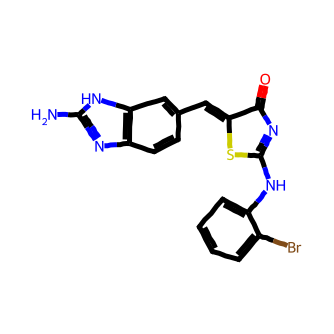 Nc1nc2ccc(/C=C3\SC(Nc4ccccc4Br)=NC3=O)cc2[nH]1